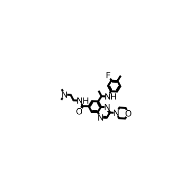 Cc1ccc(NC(C)c2cc(C(=O)NCCN(C)C)cc3ncc(N4CCOCC4)nc23)cc1F